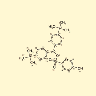 CC(C)(C)c1ccc([I+](OS(=O)(=O)c2ccc(O)cc2)c2ccc(C(C)(C)C)cc2)cc1